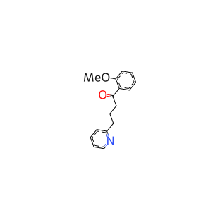 COc1ccccc1C(=O)CCCc1ccccn1